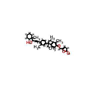 CCC(CC)(c1ccc(C#CC(O)C2(C)CCCCC2)c(C)c1)c1ccc(OCC2=CCC(=O)O2)c(C)c1